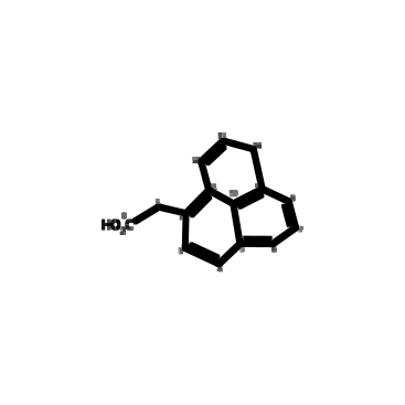 O=C(O)Cc1ccc2cccc3c2c1C=CC3